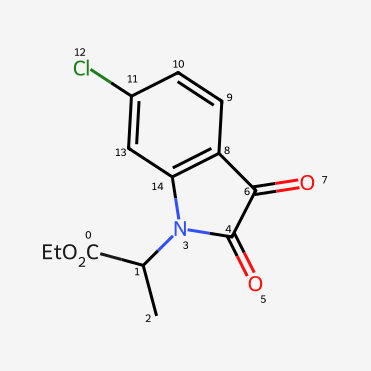 CCOC(=O)C(C)N1C(=O)C(=O)c2ccc(Cl)cc21